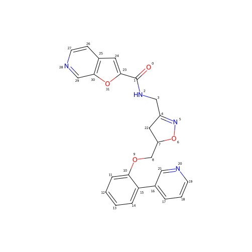 O=C(NCC1=NOC(COc2ccccc2-c2cccnc2)C1)c1cc2ccncc2o1